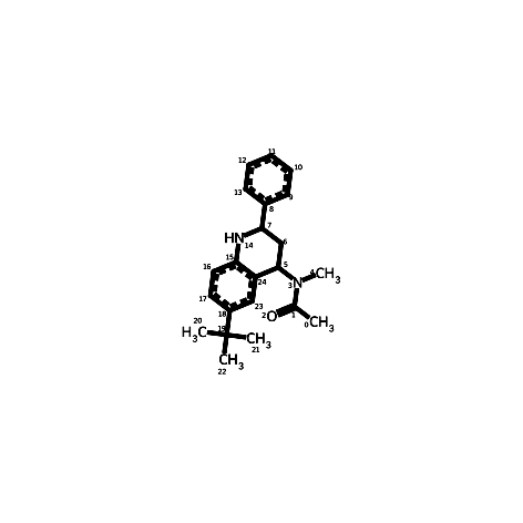 CC(=O)N(C)C1CC(c2ccccc2)Nc2ccc(C(C)(C)C)cc21